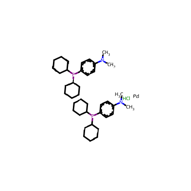 CN(C)c1ccc(P(C2CCCCC2)C2CCCCC2)cc1.CN(C)c1ccc(P(C2CCCCC2)C2CCCCC2)cc1.Cl.[Pd]